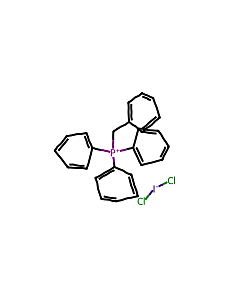 Cl[I-]Cl.c1ccc(C[P+](c2ccccc2)(c2ccccc2)c2ccccc2)cc1